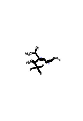 C=C(/C(=C\C=C/C)C(C)C)C(F)(F)F